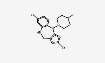 CCc1cc2c(s1)N(N1CCN(C)CC1)c1ccc(Cl)cc1NC2